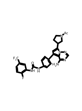 CC(=O)N1CCC(c2cc(-c3ccc(NC(=O)Nc4cc(C(F)(F)F)ccc4F)cc3)c3c(N)ncnn23)C1